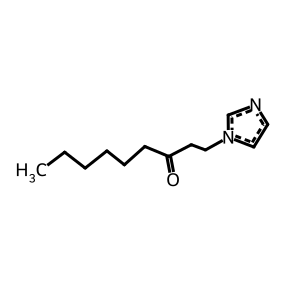 CCCCCCC(=O)CCn1ccnc1